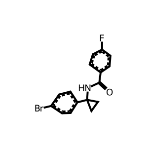 O=C(NC1(c2ccc(Br)cc2)CC1)c1ccc(F)cc1